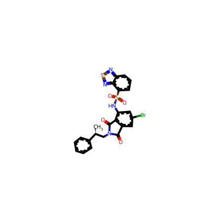 C[C@H](CN1C(=O)c2cc(Br)cc(NS(=O)(=O)c3cccc4nsnc34)c2C1=O)c1ccccc1